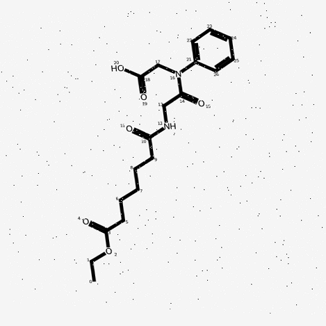 CCOC(=O)CCCCCC(=O)NCC(=O)N(CC(=O)O)c1ccccc1